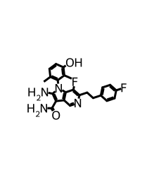 Cc1ccc(O)c(C)c1-n1c(N)c(C(N)=O)c2cnc(CCc3ccc(F)cc3)c(F)c21